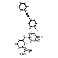 COC(=O)[C@@H](Cc1ccc(C#Cc2ccccc2)cc1)NC(=O)CC1CCCN(C(=N)N)C1